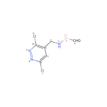 O=CBNCc1cc(Cl)nnc1Cl